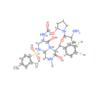 CC(C)C(N)C(=O)N1CCCC1OC(=O)NC1CN(S(=O)(=O)c2ccc(Cl)cc2Cl)C2CN(C)C(=O)C(Cc3ccc(F)c(F)c3)N2C1=O